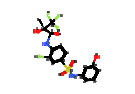 C[C@@](O)(C(=O)Nc1ccc(S(=O)(=O)Nc2cccc(O)c2)cc1F)C(F)(F)F